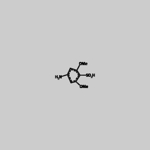 COc1cc(N)cc(OC)c1S(=O)(=O)O